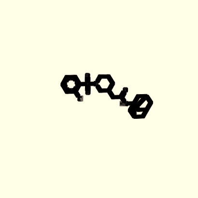 O=C(CC1CCCN(S(=O)(=O)c2ccccc2Cl)C1)NC12CC3CC(CC(C3)C1)C2